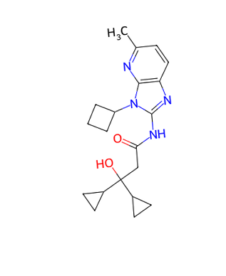 Cc1ccc2nc(NC(=O)CC(O)(C3CC3)C3CC3)n(C3CCC3)c2n1